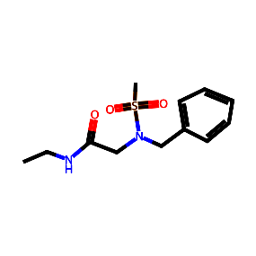 CCNC(=O)CN(Cc1ccccc1)S(C)(=O)=O